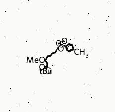 COC(CCCCCOS(=O)(=O)c1ccc(C)cc1)CC(=O)OC(C)(C)C